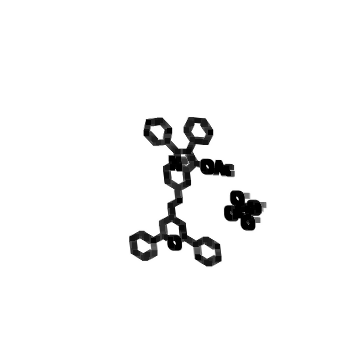 CC(=O)OC1=C(c2ccccc2)C(c2ccccc2)=[n+]2ccc(=CC=C3C=C(c4ccccc4)OC(c4ccccc4)=C3)cc21.[O-][Cl+3]([O-])([O-])[O-]